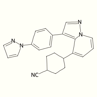 N#CC1CCC(c2cccn3ncc(-c4ccc(-n5cccn5)cc4)c23)CC1